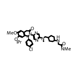 CNC(=O)CNC1CCC(CN(C)c2cnc(N3C(=O)Cc4cc(OC)c(OC(C)C)cc4[C@@H]3c3ccc(Cl)cc3)cn2)CC1